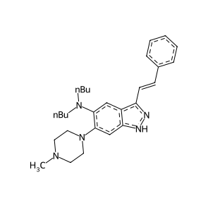 CCCCN(CCCC)c1cc2c(C=Cc3ccccc3)n[nH]c2cc1N1CCN(C)CC1